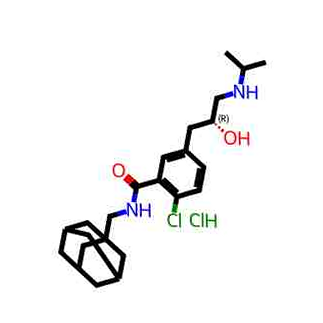 CC(C)NC[C@H](O)Cc1ccc(Cl)c(C(=O)NCC23CC4CC(CC(C4)C2)C3)c1.Cl